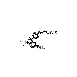 Bc1cnc(N)c(C(=O)c2ccc(NCCOC)nc2)c1